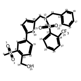 CS(=O)(=O)c1cc(-c2ccc(CN(Cc3ccccc3)S(=O)(=O)c3ccccc3C(F)(F)F)s2)ccc1CO